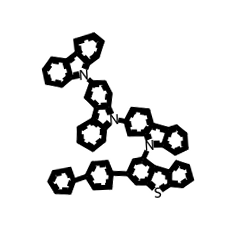 c1ccc(-c2ccc(-c3cc(-n4c5ccccc5c5ccc(-n6c7ccccc7c7cc(-n8c9ccccc9c9ccccc98)ccc76)cc54)c4c(c3)sc3ccccc34)cc2)cc1